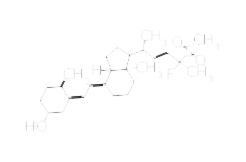 C=C1CC[C@H](O)C/C1=C/C=C1\CCC[C@]2(C)C([C@@H](C)/C=C/[C@](C)(F)S(C)(=O)=O)CC[C@@H]12